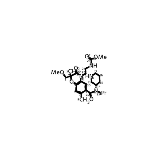 COCC1(C)Oc2cc(C)c(C(=O)N(C(C)C)[C@@H]3CCCNC3)cc2N(CCNC(=O)OC)C1=O